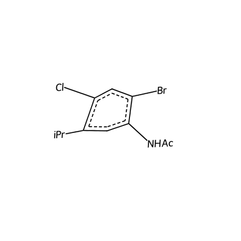 CC(=O)Nc1cc(C(C)C)c(Cl)cc1Br